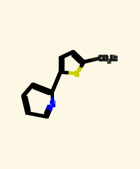 CCOC(=O)c1ccc(-c2ccccn2)s1